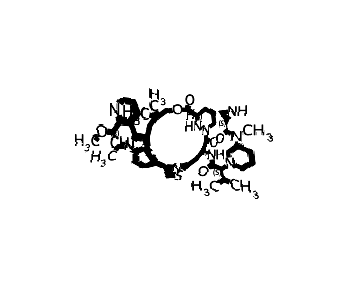 CCn1c(-c2cccnc2[C@H](C)OC)c2c3cc(ccc31)-c1csc(n1)C[C@H](NC(=O)[C@H](C(C)C)N1CCC[C@@H](N(C)C(=O)[C@@H]3CN3)C1)C(=O)N1CCC[C@H](N1)C(=O)OCC(C)(C)C2